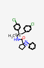 C[C@@H](NC(=O)C1(Nc2ccccc2)CCCC1)[C@H](Cc1ccc(Cl)cc1)c1ccc(Cl)cc1